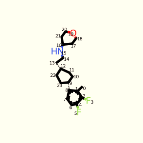 Cc1c(F)c(F)ccc1[C@H]1CC[C@@H](CCNC2CCOCC2)CC1